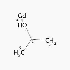 CC(C)O.[Gd]